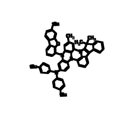 Cc1cc2c3c(c1)-n1c4c(c5cccc(c51)B3c1ccc(N(c3ccc(C(C)(C)C)cc3)c3ccc(C(C)(C)C)cc3)cc1N2c1cccc2c1oc1cc(C(C)(C)C)ccc12)-c1ccccc1C4(C)C